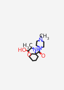 CC(NC1(C(=O)N2CCN(C)CC2)CCCCC1)C(=O)O